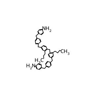 CCCCc1cc(Cc2ccc(Cc3ccc(N)cc3)cc2)ccc1Cc1ccc(Cc2ccc(Cc3ccc(N)cc3)cc2)cc1CCCC